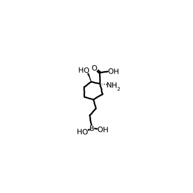 N[C@]1(C(=O)O)CC(CCB(O)O)CC[C@H]1O